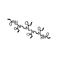 C=CC(=O)NCCN(CCN(CCN(CCN(CCNC(=O)C=C)C(=O)C=C)C(=O)C=C)C(=O)C=C)C(=O)C=C